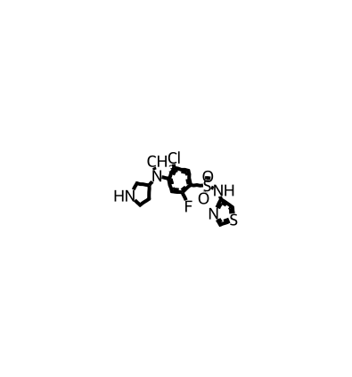 CN(c1cc(F)c(S(=O)(=O)Nc2cscn2)cc1Cl)C1CCNC1